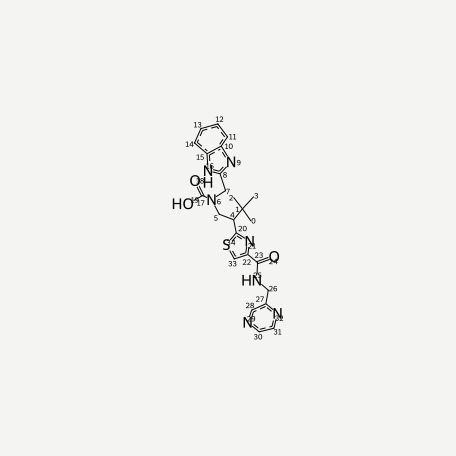 CC(C)(C)C(CN(Cc1nc2ccccc2[nH]1)C(=O)O)c1nc(C(=O)NCc2cnccn2)cs1